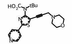 CC(C)(C)N(C(=O)O)c1nc(-c2ccncc2)sc1C#CCN1CCOCC1